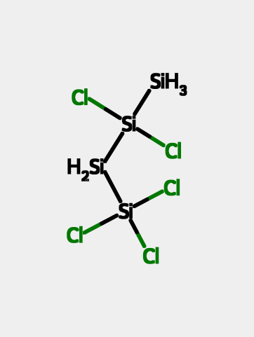 [SiH3][Si](Cl)(Cl)[SiH2][Si](Cl)(Cl)Cl